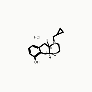 Cl.Oc1cccc2c1C[C@@H]1OCCN(CC3CC3)[C@H]1C2